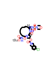 CC(C)(C)OC(=O)N[C@H]1CCCCC/C=C/[C@@H]2C[C@@]2(C(=O)NS(=O)(=O)N2CCOCC2)NC(=O)[C@@H]2C[C@@H](OC(=O)N3Cc4ccc(Cl)cc4C3)CN2C1=O